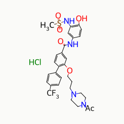 CC(=O)N1CCN(CCCOc2cc(C(=O)Nc3ccc(O)c(NS(C)(=O)=O)c3)ccc2-c2ccc(C(F)(F)F)cc2)CC1.Cl